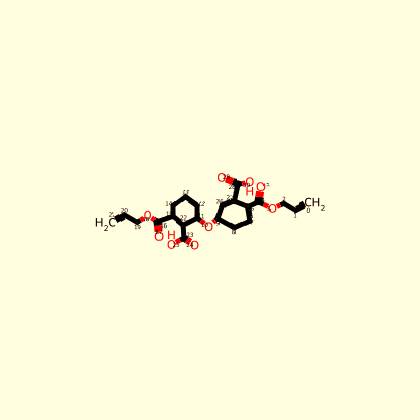 C=CCOC(=O)C1CCC(OC2CCCC(C(=O)OCC=C)C2C(=O)O)CC1C(=O)O